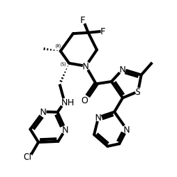 Cc1nc(C(=O)N2CC(F)(F)C[C@@H](C)[C@H]2CNc2ncc(Cl)cn2)c(-c2ncccn2)s1